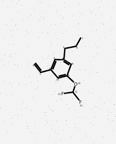 C=Cc1cc(CCC)cc(OC(F)F)c1